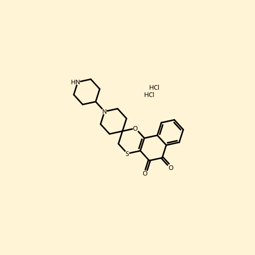 Cl.Cl.O=C1C(=O)c2ccccc2C2=C1SCC1(CCN(C3CCNCC3)CC1)O2